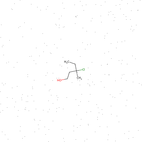 CCC(C)(Cl)CCO